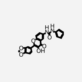 O=C(Nc1ccccc1)Nc1ccc2oc(-c3ccc4c(c3)OCO4)c(O)c(=O)c2c1